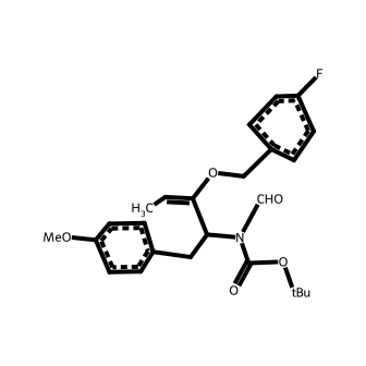 C/C=C(/OCc1ccc(F)cc1)C(Cc1ccc(OC)cc1)N(C=O)C(=O)OC(C)(C)C